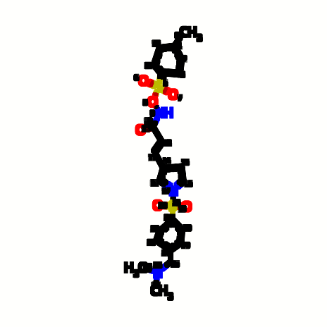 Cc1ccc(S(=O)(=O)ONC(=O)/C=C/c2ccn(S(=O)(=O)c3ccc(CN(C)C)cc3)c2)cc1